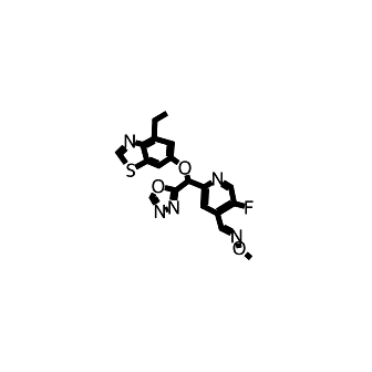 CCc1cc(OC(c2cc(/C=N/OC)c(F)cn2)c2nnco2)cc2scnc12